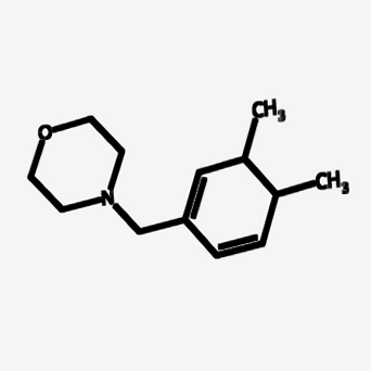 CC1C=CC(CN2CCOCC2)=CC1C